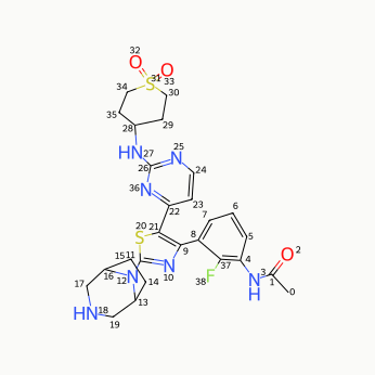 CC(=O)Nc1cccc(-c2nc(N3C4CCC3CNC4)sc2-c2ccnc(NC3CCS(=O)(=O)CC3)n2)c1F